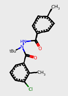 Cc1ccc(C(=O)NN(C(=O)c2cccc(Cl)c2C)C(C)(C)C)cc1